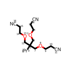 CC(C)C(COCCC#N)(COCCC#N)COCCC#N